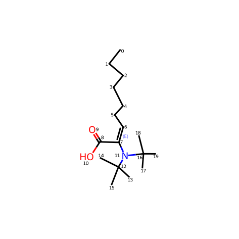 CCCCCC/C=C(\C(=O)O)N(C(C)(C)C)C(C)(C)C